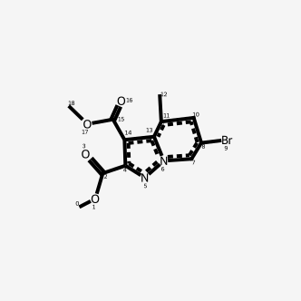 COC(=O)c1nn2cc(Br)cc(C)c2c1C(=O)OC